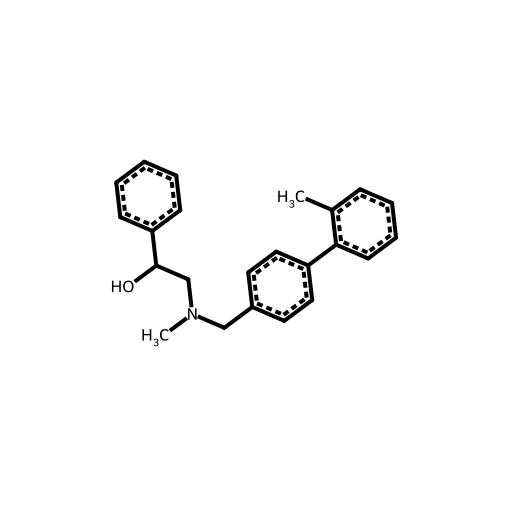 Cc1ccccc1-c1ccc(CN(C)CC(O)c2ccccc2)cc1